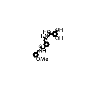 COc1cccc(CNC(=O)Cc2cccc(CC(C)(C)NCC(O)c3cc(O)cc(O)c3)c2)c1